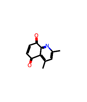 Cc1cc(C)c2c(n1)C(=O)C=CC2=O